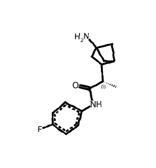 C[C@H](C(=O)Nc1ccc(F)cc1)C1CC2(N)CC1C2